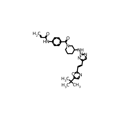 C=CC(=O)Nc1ccc(C(=O)N2CCCC(Nn3ncc(C=Cc4ncc(C(C)(C)C)o4)n3)C2)cc1